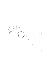 CC(Nc1ccc(OO[C@H]2[C@H](O)[C@@H](O)CO[C@@H]2CO)cc1)(P(=O)(O)O)P(=O)(O)O